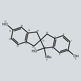 CCCCC1(O)c2cc(O)ccc2CC12Cc1ccc(O)cc1C2